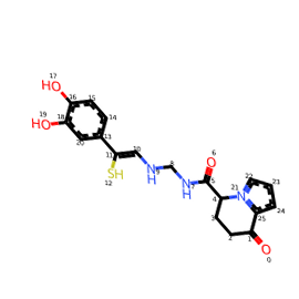 O=C1CCC(C(=O)NCN/C=C(\S)c2ccc(O)c(O)c2)n2cccc21